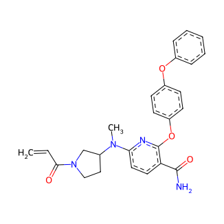 C=CC(=O)N1CCC(N(C)c2ccc(C(N)=O)c(Oc3ccc(Oc4ccccc4)cc3)n2)C1